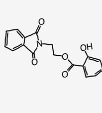 O=C(OCCN1C(=O)c2ccccc2C1=O)c1ccccc1O